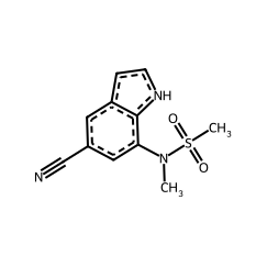 CN(c1cc(C#N)cc2cc[nH]c12)S(C)(=O)=O